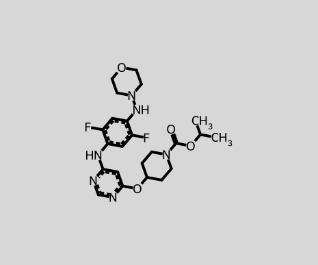 CC(C)OC(=O)N1CCC(Oc2cc(Nc3cc(F)c(NN4CCOCC4)cc3F)ncn2)CC1